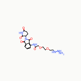 NNNCCOCCOCC(=O)Nc1cccc2c1C(=O)N(C1CCC(=O)NC1=O)C2=O